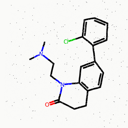 CN(C)CCN1C(=O)CCc2ccc(-c3ccccc3Cl)cc21